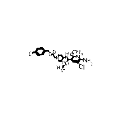 COc1nc(N)c(Cl)cc1C(=O)N[C@@H]1CCN(CC(=O)OCc2ccc(Cl)cc2)C[C@@H]1OC